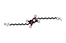 CCCCCCCCCCCCn1c(=O)c2ccc(c1=O)c1c3ccc(c(=O)n(CCCCCCCCCCCC)c3=O)c21